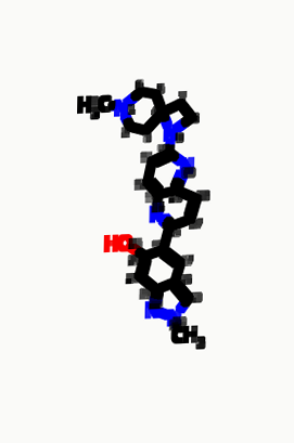 CN1CCC2(CC1)CCN2c1ccc2nc(-c3cc4cn(C)nc4cc3O)ccc2n1